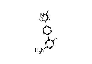 Cc1noc(-c2ccc(-c3cc(N)ccc3C)cc2)n1